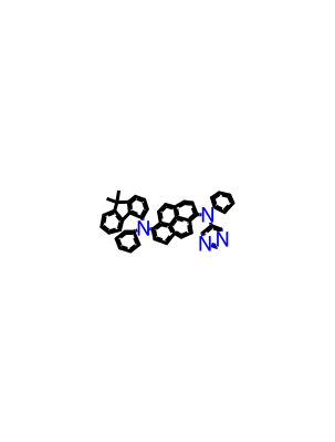 CC1(C)c2ccccc2-c2c(N(c3ccccc3)c3ccc4ccc5c(N(c6ccccc6)c6cncnc6)ccc6ccc3c4c65)cccc21